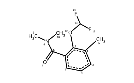 Cc1cccc(C(=O)N(C)C)c1OC(F)F